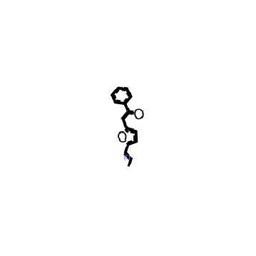 C/C=C/c1ccc(CC(=O)c2ccccc2)o1